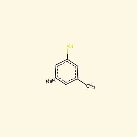 Cc1cccc(S)c1.[NaH]